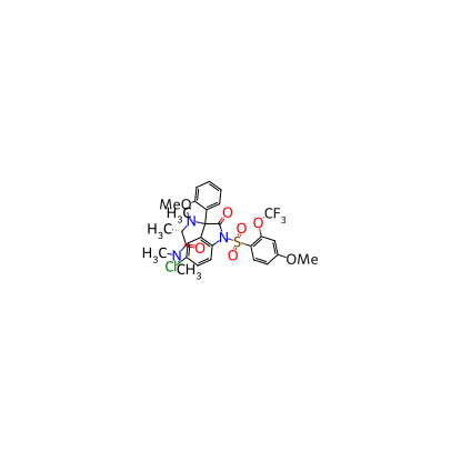 COc1ccc(S(=O)(=O)N2C(=O)C(c3ccccc3OC)(N(C)[C@@H](C)C(=O)N(C)C)c3cc(Cl)ccc32)c(OC(F)(F)F)c1